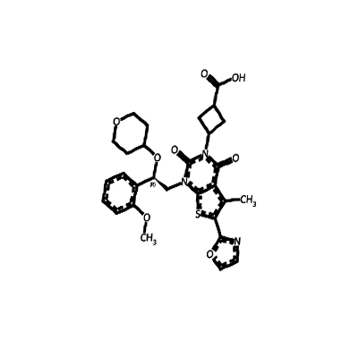 COc1ccccc1[C@H](Cn1c(=O)n(C2CC(C(=O)O)C2)c(=O)c2c(C)c(-c3ncco3)sc21)OC1CCOCC1